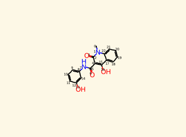 Cn1c(=O)c(C(=O)Nc2cccc(O)c2)c(O)c2ccccc21